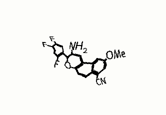 COc1cc(C#N)c2ccc3c(c2c1)CC(N)C(c1cc(F)c(F)cc1F)O3